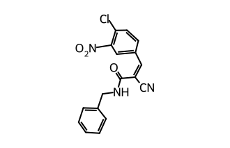 N#CC(=Cc1ccc(Cl)c([N+](=O)[O-])c1)C(=O)NCc1ccccc1